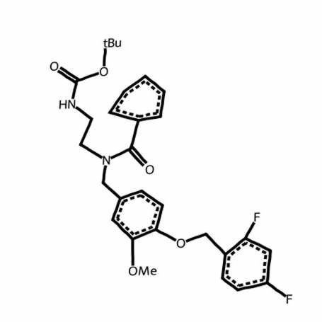 COc1cc(CN(CCNC(=O)OC(C)(C)C)C(=O)c2ccccc2)ccc1OCc1ccc(F)cc1F